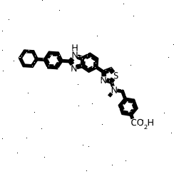 CN(Cc1ccc(C(=O)O)cc1)c1nc(-c2ccc3[nH]c(-c4ccc(C5CCCCC5)cc4)nc3c2)cs1